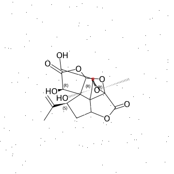 C=C(C)[C@@H]1CC2OC(=O)C34OC5OC(=O)[C@H](O)C51C23[C@@H](O)C(CO)OC[C@H]4C